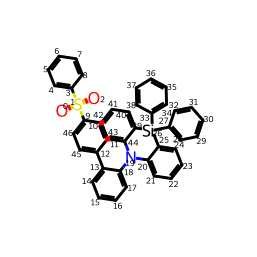 O=S(=O)(c1ccccc1)c1ccc(-c2ccccc2N2c3ccccc3[Si](c3ccccc3)(c3ccccc3)c3ccccc32)cc1